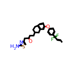 C/C=C/C(F)(F)c1ccc(Oc2ccc3c(c2)CC(CCC(=O)Cc2csc(N)n2)CC3)cc1